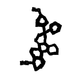 COc1ccc(C2(c3ccccc3)COc3c(c4c(c5c3ccc3c(OC)cccc35)C=CCC4)C2)cc1